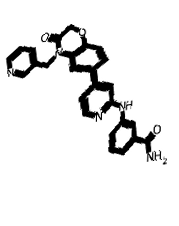 NC(=O)c1cccc(Nc2cc(-c3ccc4c(c3)N(Cc3cccnc3)C(=O)CO4)ccn2)c1